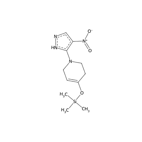 C[Si](C)(C)OC1=CCN(c2[nH]ncc2[N+](=O)[O-])CC1